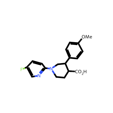 COc1ccc(C2CN(c3ccc(F)cn3)CCC2C(=O)O)cc1